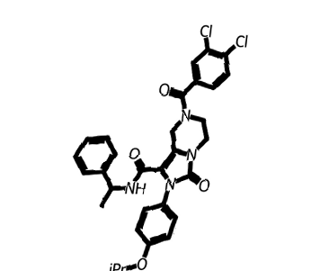 CC(C)Oc1ccc(-n2c(C(=O)NC(C)c3ccccc3)c3n(c2=O)CCN(C(=O)c2ccc(Cl)c(Cl)c2)C3)cc1